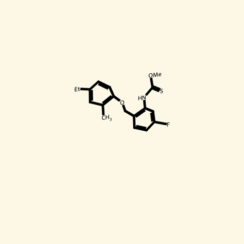 CCc1ccc(OCc2ccc(F)cc2NC(=S)OC)c(C)c1